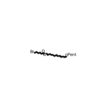 CCCCC/C=C\CC=CCCCCCCCCOC(=O)CCCCCBr